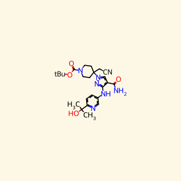 CC(C)(C)OC(=O)N1CCC(CC#N)(n2cc(C(N)=O)c(Nc3ccc(C(C)(C)O)nc3)n2)CC1